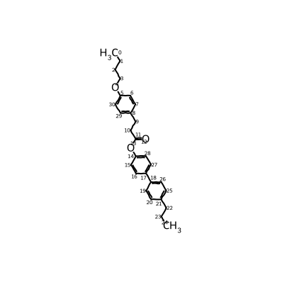 CCCCOc1ccc(CCC(=O)Oc2ccc(-c3ccc(CCC)cc3)cc2)cc1